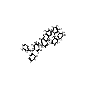 c1ccc(N(c2ccccc2)c2ccc(-c3ccc4c(c3)Sc3cccc5c3B4c3ccccc3[Si]5(c3ccccc3)c3ccccc3)cc2)cc1